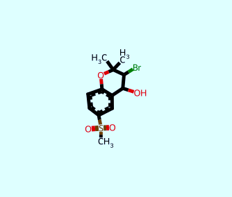 CC1(C)Oc2ccc(S(C)(=O)=O)cc2C(O)C1Br